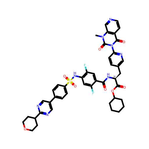 Cn1c(=O)n(-c2ccc(C[C@H](NC(=O)c3cc(F)c(NS(=O)(=O)c4ccc(-c5cnc(C6CCOCC6)nc5)cc4)cc3F)C(=O)OC3CCCCC3)cn2)c(=O)c2ccncc21